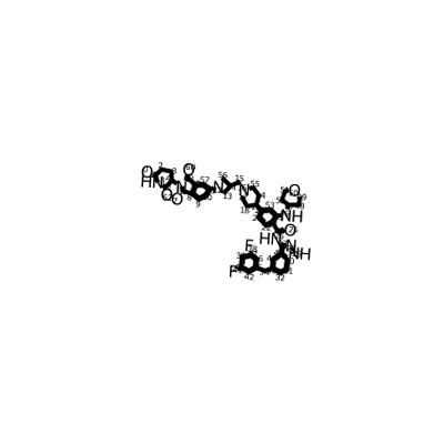 O=C1CCC(N2C(=O)c3ccc(N4CC(CN5CCC(c6ccc(C(=O)Nc7n[nH]c8ccc(Cc9cc(F)cc(F)c9)cc78)c(NC7CCOCC7)c6)CC5)C4)cc3C2=O)C(=O)N1